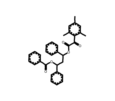 Cc1cc(C)c(C(=O)C(=O)OC(CC(OC(=O)c2ccccc2)c2ccccc2)c2ccccc2)c(C)c1